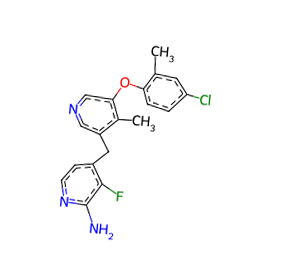 Cc1cc(Cl)ccc1Oc1cncc(Cc2ccnc(N)c2F)c1C